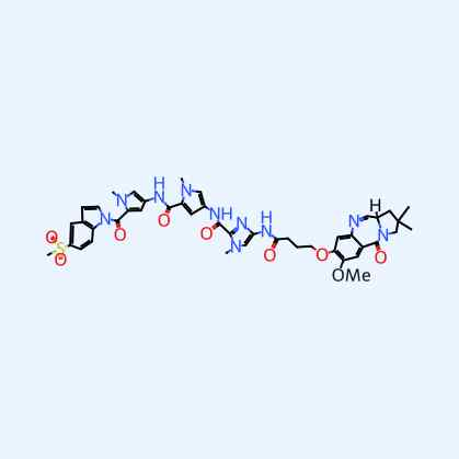 COc1cc2c(cc1OCCCC(=O)Nc1cn(C)c(C(=O)Nc3cc(C(=O)Nc4cc(C(=O)n5ccc6cc(S(C)(=O)=O)ccc65)n(C)c4)n(C)c3)n1)N=C[C@@H]1CC(C)(C)CN1C2=O